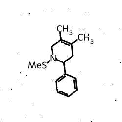 CSN1CC(C)=C(C)CC1c1ccccc1